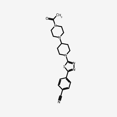 CC(=O)N1CCN(C2CCN(c3nnc(-c4ccc(C#N)cc4)s3)CC2)CC1